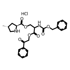 C[C@H]1CN[C@H](C(=O)OCC(NC(=O)OCc2ccccc2)C(=O)OCC(=O)c2ccccc2)C1.Cl